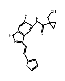 O=C(Nc1cc2c(/C=C/c3cccs3)n[nH]c2cc1F)C1(CO)CC1